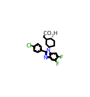 O=C(O)CC1CCCC(n2c(-c3ccc(Cl)cc3)nc3cc(F)c(F)cc32)C1